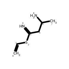 C=CSC(=N)CC(C)N